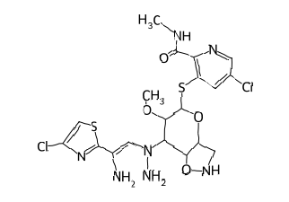 CNC(=O)c1ncc(Cl)cc1SC1OC2CNOC2C(N(N)/C=C(\N)c2nc(Cl)cs2)C1OC